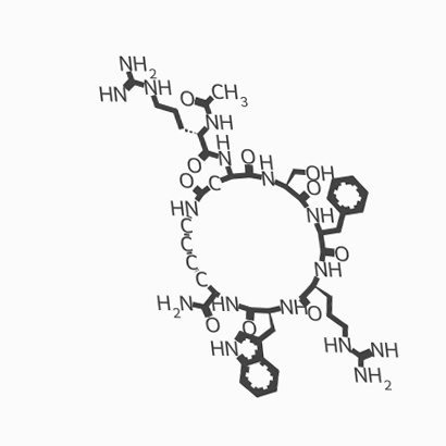 CC(=O)N[C@@H](CCCNC(=N)N)C(=O)NC1CC(=O)NCCCCC(C(N)=O)NC(=O)[C@H](Cc2c[nH]c3ccccc23)NC(=O)[C@H](CCCNC(=N)N)NC(=O)C(Cc2ccccc2)NC(=O)[C@H](CO)NC1=O